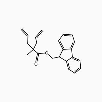 C=CCC(C)(CC=C)C(=O)OCC1c2ccccc2-c2ccccc21